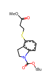 COC(=O)CCSc1cccc2c1CCN2C(=O)OC(C)(C)C